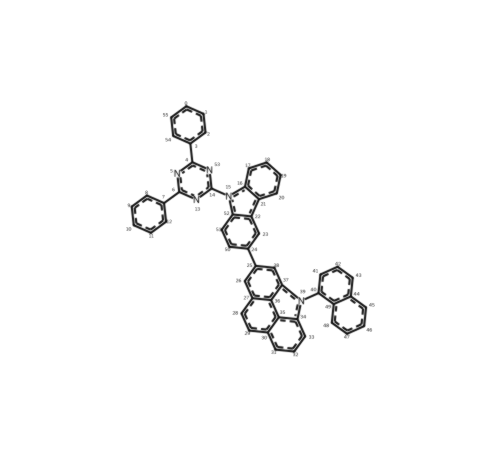 c1ccc(-c2nc(-c3ccccc3)nc(-n3c4ccccc4c4cc(-c5cc6ccc7cccc8c7c6c(c5)n8-c5cccc6ccccc56)ccc43)n2)cc1